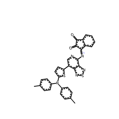 Cc1ccc(N(c2ccc(C)cc2)c2ccc(-c3cnc(/N=c4\c(=O)c(=O)c5ccccc45)c4nsnc34)s2)cc1